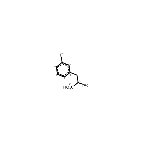 CC(=O)C(Cc1cccc(F)c1)C(=O)O